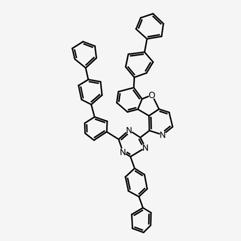 c1ccc(-c2ccc(-c3cccc(-c4nc(-c5ccc(-c6ccccc6)cc5)nc(-c5nccc6oc7c(-c8ccc(-c9ccccc9)cc8)cccc7c56)n4)c3)cc2)cc1